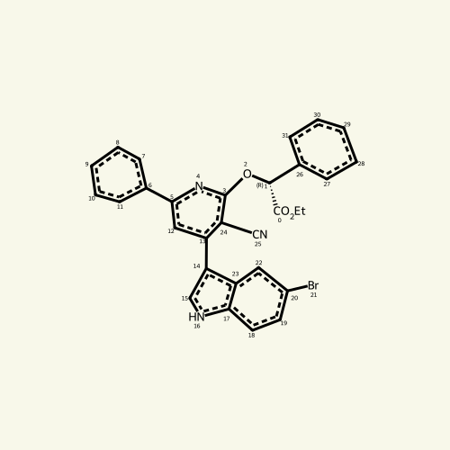 CCOC(=O)[C@H](Oc1nc(-c2ccccc2)cc(-c2c[nH]c3ccc(Br)cc23)c1C#N)c1ccccc1